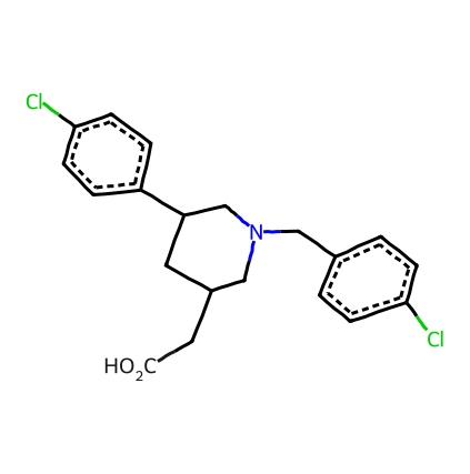 O=C(O)CC1CC(c2ccc(Cl)cc2)CN(Cc2ccc(Cl)cc2)C1